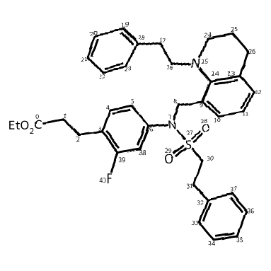 CCOC(=O)CCc1ccc(N(Cc2cccc3c2N(CCc2ccccc2)CCC3)S(=O)(=O)CCc2ccccc2)cc1F